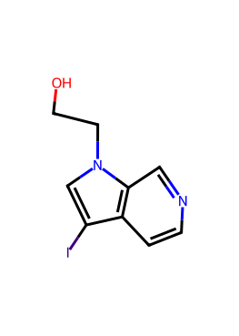 OCCn1cc(I)c2ccncc21